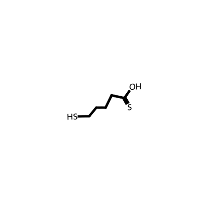 OC(=S)CCCCS